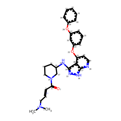 CN(C)C/C=C/C(=O)N1CCCC(Nc2n[nH]c3nccc(Oc4cccc(Oc5ccccc5)c4)c23)C1